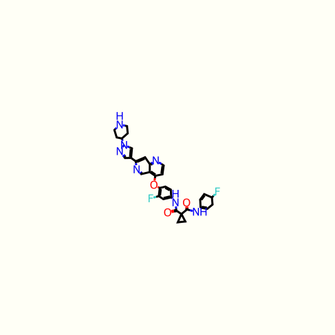 O=C(NC1=CCC(F)C=C1)C1(C(=O)Nc2ccc(Oc3ccnc4cc(-c5cnn(C6CCNCC6)c5)ncc34)c(F)c2)CC1